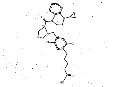 O=C(O)CCCCc1cc(Cl)c(CN2CSC[C@H]2C(=O)N2CCN(C3CC3)c3ccccc32)cc1Cl